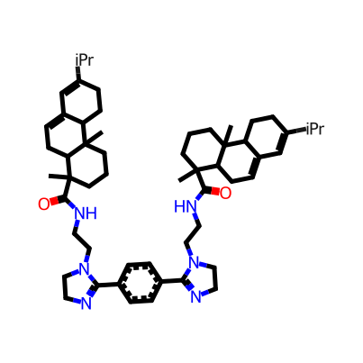 CC(C)C1=CC2=CCC3C(C)(C(=O)NCCN4CCN=C4c4ccc(C5=NCCN5CCNC(=O)C5(C)CCCC6(C)C7CCC(C(C)C)=CC7=CCC56)cc4)CCCC3(C)C2CC1